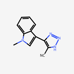 Cn1cc(-c2nn[nH]c2C#N)c2ccccc21